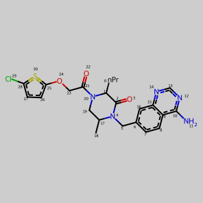 CCCC1C(=O)N(Cc2ccc3c(N)ncnc3c2)C(C)CN1C(=O)COc1ccc(Cl)s1